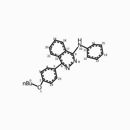 CCCCOc1ccc(-c2nnc(Nc3ccccc3)c3ccccc23)cc1